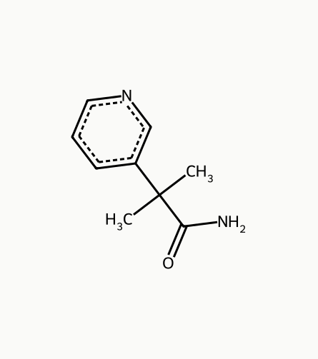 CC(C)(C(N)=O)c1cccnc1